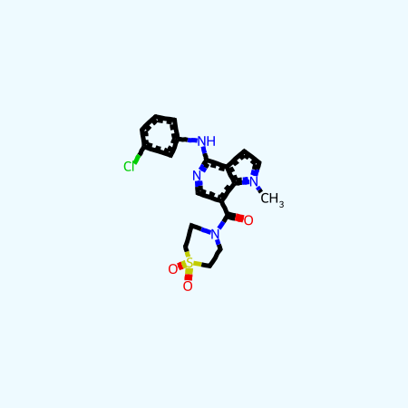 Cn1ccc2c(Nc3cccc(Cl)c3)ncc(C(=O)N3CCS(=O)(=O)CC3)c21